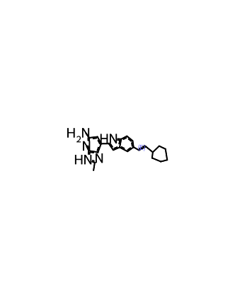 Cc1nc2c(-c3cc4cc(/C=C/C5CCCCC5)ccc4[nH]3)cc(N)nc2[nH]1